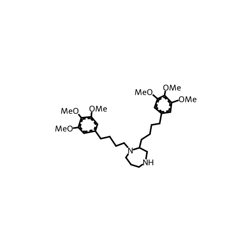 COc1cc(CCCCC2CNCCCN2CCCCc2cc(OC)c(OC)c(OC)c2)cc(OC)c1OC